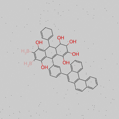 Bc1c(B)c(O)c2c(c1O)C(c1cccc(-c3cc4ccc5ccccc5c4c4ccccc34)c1)=C1C(O)=C(O)C(O)C(O)C1C2C1=CCCC=C1